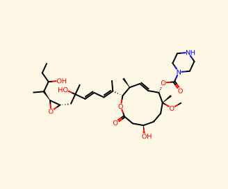 CCC(O)C(C)[C@@H]1O[C@H]1CC(C)(O)/C=C/C=C(\C)[C@H]1OC(=O)C[C@H](O)CC[C@@](C)(OC)[C@@H](OC(=O)N2CCNCC2)/C=C/[C@@H]1C